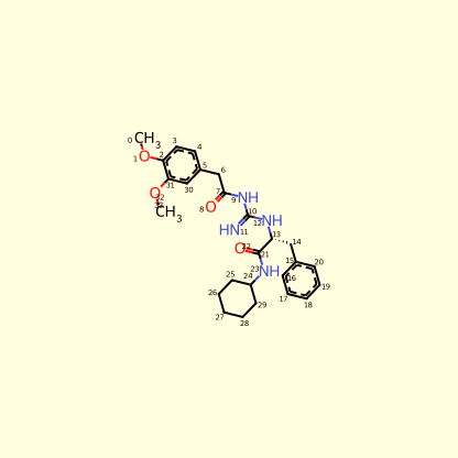 COc1ccc(CC(=O)NC(=N)N[C@H](Cc2ccccc2)C(=O)NC2CCCCC2)cc1OC